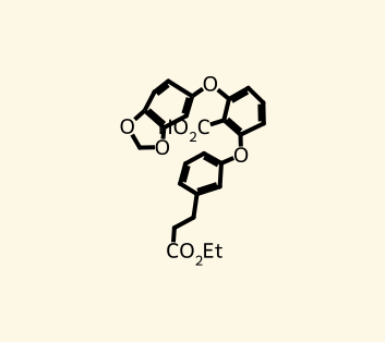 CCOC(=O)CCc1cccc(Oc2cccc(Oc3ccc4c(c3)OCO4)c2C(=O)O)c1